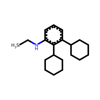 [SiH3]CNc1cccc(C2CCCCC2)c1C1CCCCC1